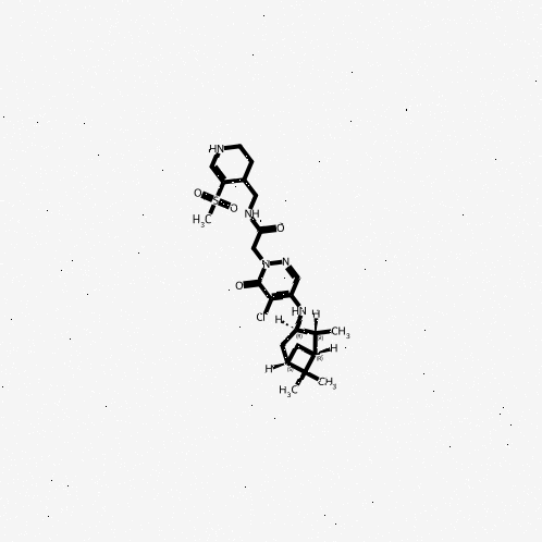 C[C@@H]1[C@H]2C[C@@H](C[C@H]1Nc1cnn(CC(=O)NCC3CCNC=C3S(C)(=O)=O)c(=O)c1Cl)C2(C)C